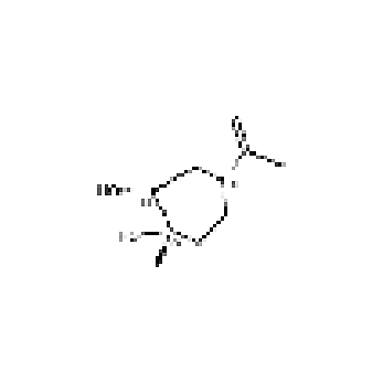 C=C(C)[C@@H]1CC[C@](C)(O)[C@H](O)C1